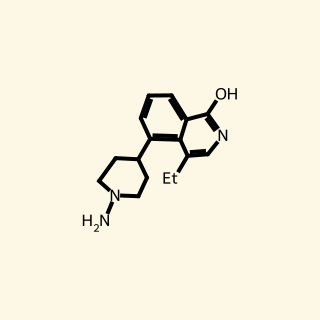 CCc1cnc(O)c2cccc(C3CCN(N)CC3)c12